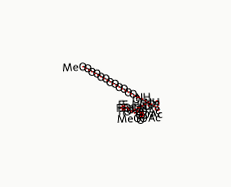 COCCOCCOCCOCCOCCOCCOCCOCCOCCOCCOCCOCCC(=O)NCCCC[C@H](NC(=O)OCC1c2ccccc2-c2ccccc21)C(=O)NCCC(=O)Nc1cc(COC(=O)Oc2c(F)c(F)c(F)c(F)c2F)ccc1O[C@@H]1O[C@H](C(=O)OC)[C@@H](OC(C)=O)[C@H](OC(C)=O)[C@H]1OC(C)=O